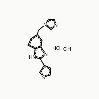 Cl.Cl.c1cn(Cc2ccc3[nH]c(-c4ccsc4)nc3c2)cn1